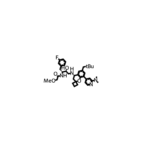 COCC(=O)N[C@@H](Cc1cccc(F)c1)[C@@H](O)CN[C@H]1CC2(CCC2)Oc2c(-c3ccnc(N(C)C)c3)cc(CC(C)(C)C)cc21